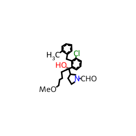 COCCCC[C@@](O)(c1cccc(Cl)c1Cc1ccccc1C)C1CCCN(C=O)C1